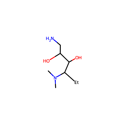 CCC(C(O)C(O)CN)N(C)C